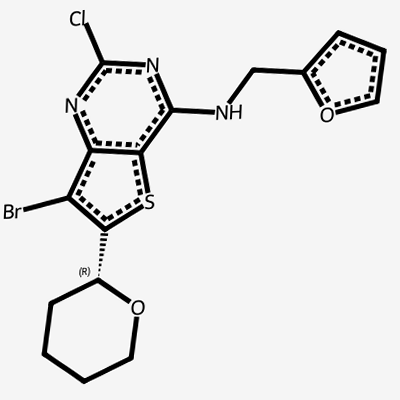 Clc1nc(NCc2ccco2)c2sc([C@H]3CCCCO3)c(Br)c2n1